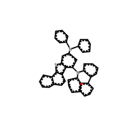 c1ccc(-c2ccccc2N(c2ccccc2)c2cc(N(c3ccccc3)c3ccccc3)cc3sc4c5ccccc5ccc4c23)cc1